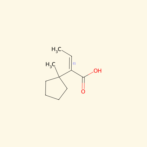 C/C=C(/C(=O)O)C1(C)CCCC1